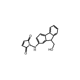 O=C1C=CC(=O)N1Nc1ccc2c(c1)C(CO)c1ccccc1-2